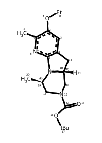 CCOc1cc2c(nc1C)N1[C@H](C2)CN(C(=O)OC(C)(C)C)C[C@H]1C